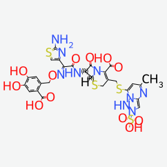 CC1=NC2=CN(S(=O)(=O)O)NN2C(SCC2=C(C(=O)O)N3C(=O)[C@@H](NC(=O)C(=NOCc4cc(O)c(O)cc4C(=O)O)c4csc(N)n4)[C@H]3SC2)=C1